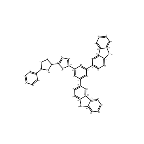 c1ccc(C2CCC(c3ccc(-c4cc(-c5ccc6oc7ccccc7c6c5)cc(-c5ccc6oc7ccccc7c6c5)c4)s3)S2)cc1